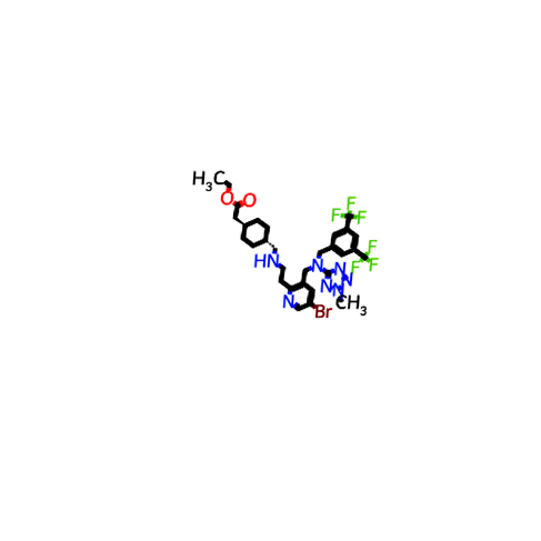 CCOC(=O)C[C@H]1CC[C@H](CNCCc2ncc(Br)cc2CN(Cc2cc(C(F)(F)F)cc(C(F)(F)F)c2)c2nnn(C)n2)CC1